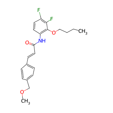 CCCCOc1c(NC(=O)/C=C/c2ccc(COC)cc2)ccc(F)c1F